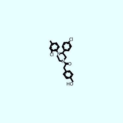 Cc1ccc(N2CCN(C(=O)Cc3ccc(CO)cc3)CC2c2ccc(Cl)cc2)c(Cl)c1